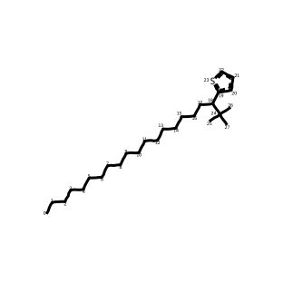 CCCCCCCCCCCCCCCCCCC(c1cccs1)C(C)(C)C